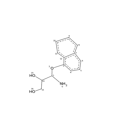 NC(Oc1cccc2ccccc12)C(O)CO